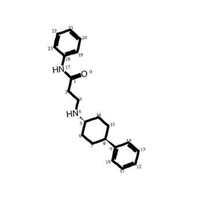 O=C(CCN[C@H]1CC[C@H](c2ccccc2)CC1)Nc1ccccc1